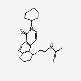 CC(=O)NCCC1CCSc2ccc3c(=S)n(C4CCCCC4)ccc3c21